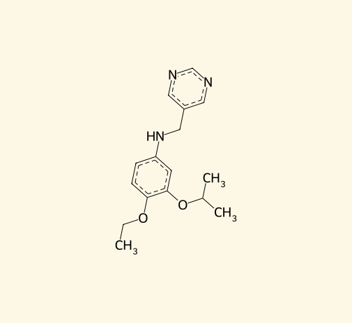 CCOc1ccc(NCc2cncnc2)cc1OC(C)C